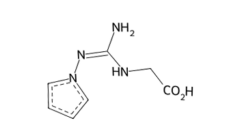 NC(=Nn1cccc1)NCC(=O)O